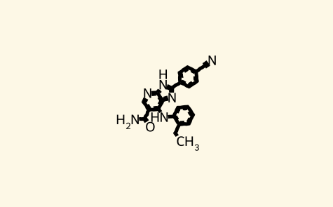 CCc1ccccc1Nc1c(C(N)=O)cnc2[nH]c(-c3ccc(C#N)cc3)nc12